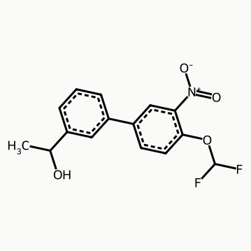 CC(O)c1cccc(-c2ccc(OC(F)F)c([N+](=O)[O-])c2)c1